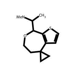 CNC(C)C1OCCC2(CC2)c2ccsc21